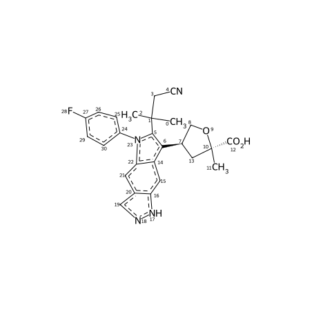 CC(C)(CC#N)c1c([C@H]2CO[C@](C)(C(=O)O)C2)c2cc3[nH]ncc3cc2n1-c1ccc(F)cc1